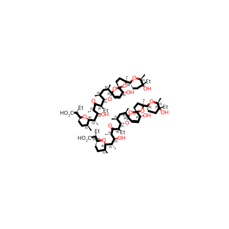 CC[C@@H](C(=O)[C@@H](C)[C@@H](O)[C@H](C)[C@@H]1O[C@@H]([C@@H](CC)C(=O)O)CC[C@@H]1C)[C@H]1O[C@]2(C=C[C@@H](O)[C@]3(CC[C@@](C)([C@H]4CC[C@](O)(CC)[C@H](C)O4)O3)O2)[C@H](C)C[C@@H]1C.CC[C@@H](C(=O)[C@@H](C)[C@@H](O)[C@H](C)[C@@H]1O[C@@H]([C@@H](CC)C(=O)O)CC[C@@H]1C)[C@H]1O[C@]2(C=C[C@@H](O)[C@]3(CC[C@@](C)([C@H]4CC[C@](O)(CC)[C@H](C)O4)O3)O2)[C@H](C)C[C@@H]1C